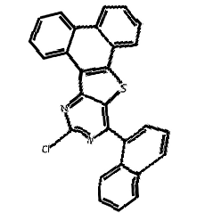 Clc1nc(-c2cccc3ccccc23)c2sc3c4ccccc4c4ccccc4c3c2n1